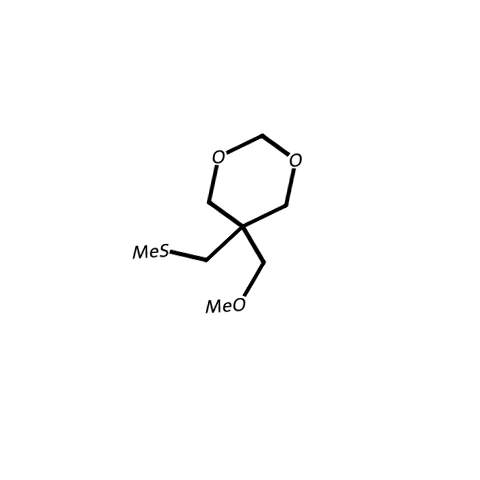 COCC1(CSC)COCOC1